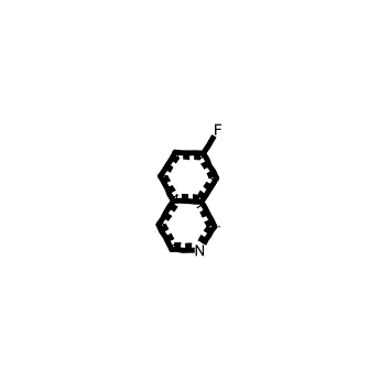 Fc1ccc2ccn[c]c2c1